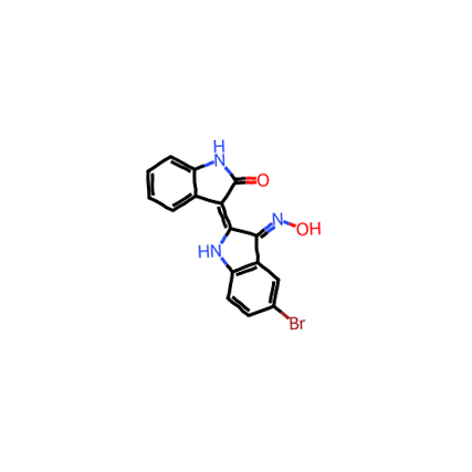 O=C1Nc2ccccc2C1=C1Nc2ccc(Br)cc2C1=NO